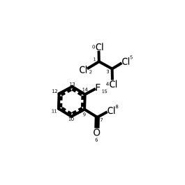 ClC(Cl)C(Cl)Cl.O=C(Cl)c1ccccc1F